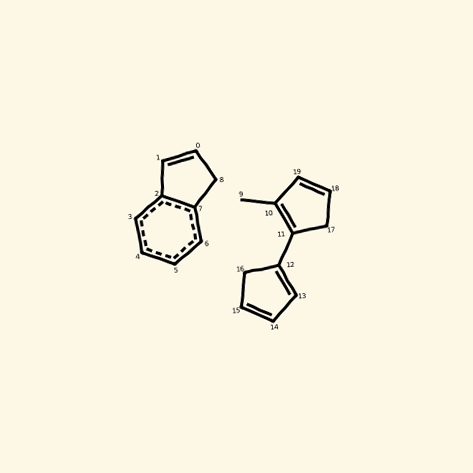 C1=Cc2ccccc2C1.CC1=C(C2=CC=CC2)CC=C1